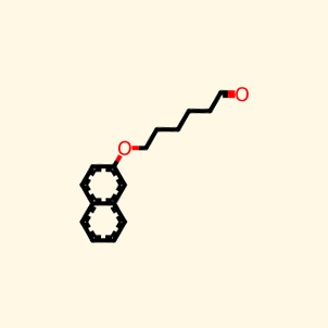 O=CCCCCCOc1ccc2ccccc2c1